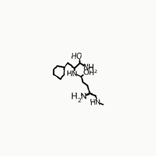 CNCC(N)CCC(O)NC(CC1CCCCC1)C(N)O